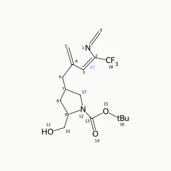 C=N/C(=C\C(=C)CC1CC(CO)N(C(=O)OC(C)(C)C)C1)C(F)(F)F